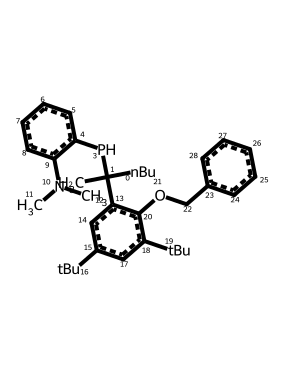 CCCCC(C)(Pc1ccccc1N(C)C)c1cc(C(C)(C)C)cc(C(C)(C)C)c1OCc1ccccc1